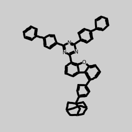 c1ccc(-c2ccc(-c3nc(-c4ccc(-c5ccccc5)cc4)nc(-c4cccc5c4oc4cccc(-c6ccc(C78CC9CC(CC(C9)C7)C8)cc6)c45)n3)cc2)cc1